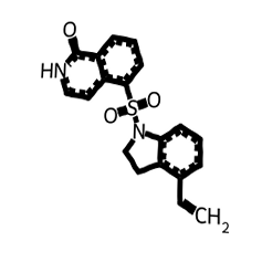 C=Cc1cccc2c1CCN2S(=O)(=O)c1cccc2c(=O)[nH]ccc12